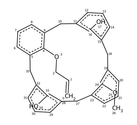 C=CCOc1c2cccc1Cc1cccc(c1O)Cc1cccc(c1OC)Cc1cccc(c1O)C2